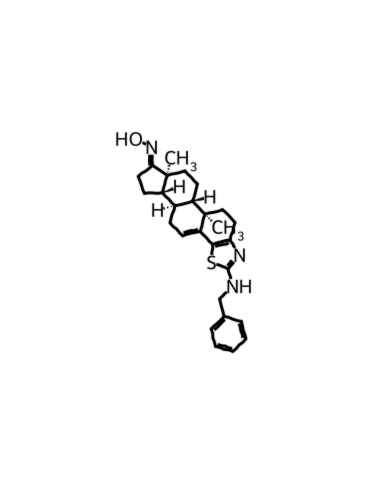 C[C@]12CCc3nc(NCc4ccccc4)sc3C1=CC[C@@H]1[C@@H]2CC[C@]2(C)/C(=N/O)CC[C@@H]12